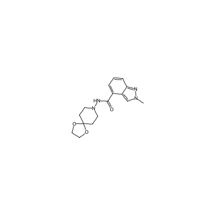 Cn1cc2c(C(=O)NN3CCC4(CC3)OCCO4)cccc2n1